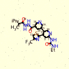 CCNC(=O)Nc1cc(-c2nc(C(F)(F)F)cs2)c(-c2cncc(C(=O)NNC(=O)[C@@H](C)C(C)C)c2)cn1